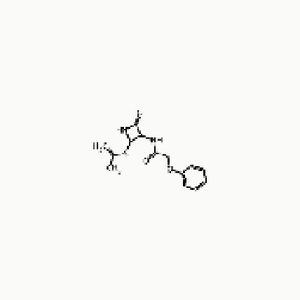 C=C(C)SC1NC(=O)C1NC(=O)COc1ccccc1